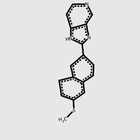 CSc1ccc2cc(-c3nc4cnccc4[nH]3)ccc2c1